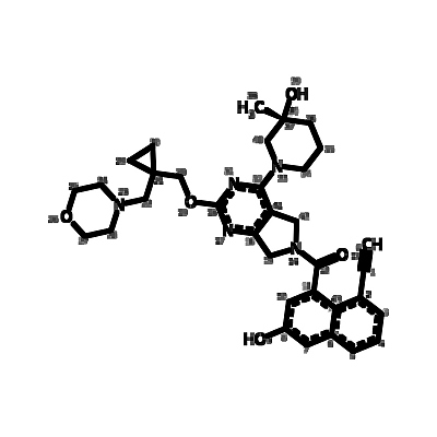 C#Cc1cccc2cc(O)cc(C(=O)N3Cc4nc(OCC5(CN6CCOCC6)CC5)nc(N5CCC[C@@](C)(O)C5)c4C3)c12